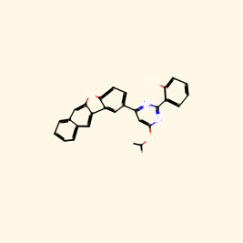 CC(C)Oc1cc(-c2ccc3oc4cc5ccccc5cc4c3c2)nc(-c2ccccc2O)n1